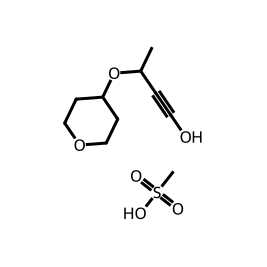 CC(C#CO)OC1CCOCC1.CS(=O)(=O)O